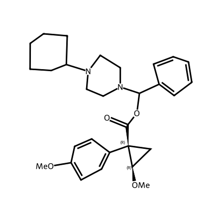 COc1ccc([C@]2(C(=O)OC(c3ccccc3)N3CCN(C4CCCCC4)CC3)C[C@H]2OC)cc1